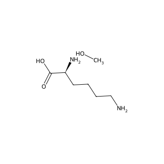 CO.NCCCC[C@H](N)C(=O)O